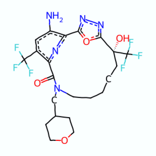 Nc1cc(C(F)(F)F)c2nc1-c1nnc(o1)[C@@](O)(C(F)(F)F)CCCCCN(CC1CCOCC1)C2=O